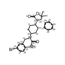 CC1(C)OC(=O)N(C2CCC(N3Cc4cc(Br)ccc4NC3=O)CC2)[C@H]1c1ccccc1